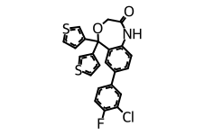 O=C1COC(c2ccsc2)(c2ccsc2)c2cc(-c3ccc(F)c(Cl)c3)ccc2N1